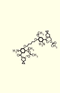 COc1cc(C(=O)N2CC3(CC3)C[C@H]2COC(C)=O)c(N)cc1OCCCCCOc1cc(N)c(C(=O)N2CC3(CC3)C[C@H]2COC(C)=O)cc1OC